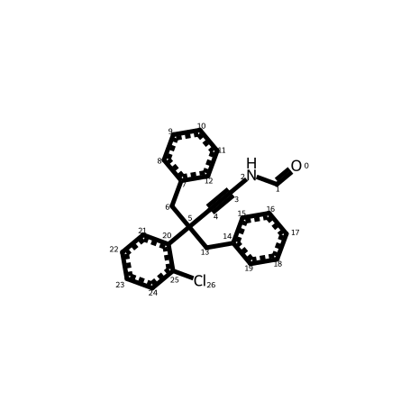 O=CNC#CC(Cc1ccccc1)(Cc1ccccc1)c1ccccc1Cl